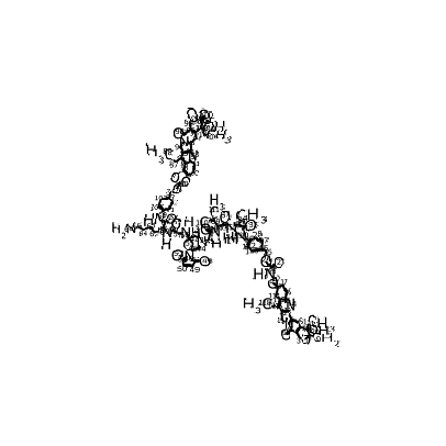 C=C1OCc2c(cc3n(c2=O)Cc2c-3nc3ccc(OCNC(=O)OCc4ccc(NC(=O)[C@H](C)NC(=O)[C@@H](NC(=O)CN(CCN5C(=O)C=CC5=O)CC(=O)NCC(=O)N[C@@H](CCCCN)C(=O)Nc5ccc(COC(=O)Oc6ccc7nc8c(c(CC)c7c6)Cn6c-8cc7c(c6=O)COC(=O)[C@]7(O)CC)cc5)C(C)C)cc4)cc3c2CC)[C@@]1(O)CC